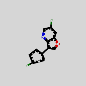 Fc1ccc(-c2coc3cc(Cl)cnc23)cc1